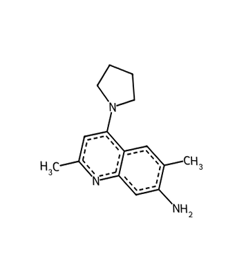 Cc1cc(N2CCCC2)c2cc(C)c(N)cc2n1